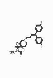 CC(C)(C)N1C(=O)OC2(CCN(CCC=C(c3ccc(F)cc3)c3ccc(F)cc3)CC2)C1(C)O